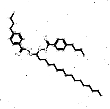 [CH2]CCCCCCCCCCCCCC[C](OOC(=O)c1ccc(CCCC)cc1)OOC(=O)c1ccc(CCCC)cc1